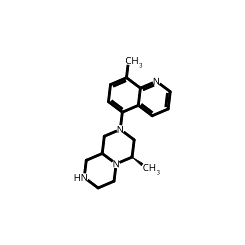 Cc1ccc(N2CC3CNCCN3[C@H](C)C2)c2cccnc12